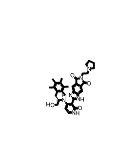 Cc1c(C)c(C)c(C[C@H](CO)Nc2cc[nH]c(=O)c2-c2nc3cc4c(cc3[nH]2)C(=O)N(CCN2CCCC2)C4=O)c(C)c1C